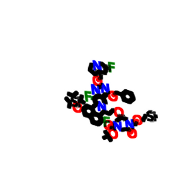 CC(C)[Si](Oc1cc(-c2ncc3c(OCc4ccccc4)nc(OC[C@@]45CCCN4C[C@H](F)C5)nc3c2F)c2c(CCCO[C@@H]3CN(COCC[Si](C)(C)C)C(=O)CN(C(=O)OC(C)(C)C)C3)c(F)ccc2c1)(C(C)C)C(C)C